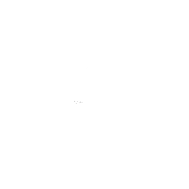 COP(=O)(OC1CCCCC1)C1CCCCC1F